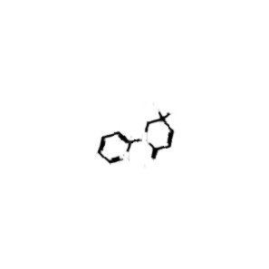 CC1(Cl)C=CC(=O)N(c2ccccn2)C1